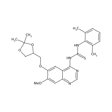 COc1cc2ncnc(NC(=S)Nc3c(C)cccc3C)c2cc1OCC1COC(C)(C)O1